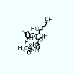 C#CCCCC(O)C(O)C(Cc1cc(F)cc(F)c1)NC(=O)c1coc(NS(C)(=O)=O)n1